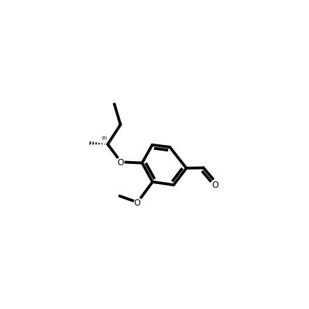 CC[C@@H](C)Oc1ccc(C=O)cc1OC